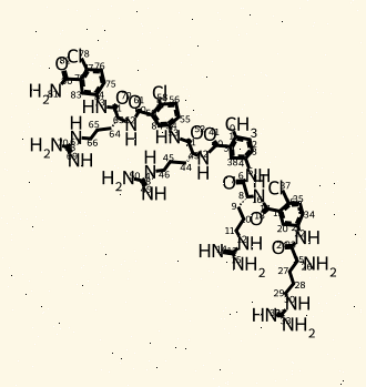 Cc1ccc(NC(=O)[C@@H](CCCNC(=N)N)NC(=O)c2cc(NC(=O)[C@H](N)CCCNC(=N)N)ccc2Cl)cc1C(=O)N[C@H](CCCNC(=N)N)C(=O)Nc1ccc(Cl)c(C(=O)N[C@H](CCCNC(=N)N)C(=O)Nc2ccc(Cl)c(C(N)=O)c2)c1